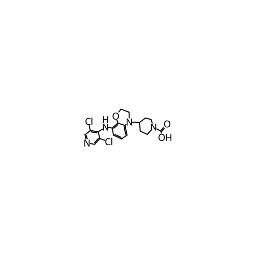 O=C(O)N1CCC(N2CCOc3c(Nc4c(Cl)cncc4Cl)cccc32)CC1